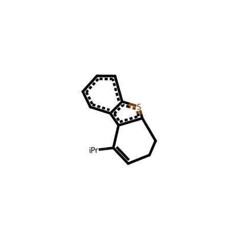 CC(C)C1=CCCc2sc3ccccc3c21